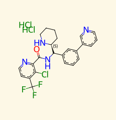 Cl.Cl.O=C(NC(c1cccc(-c2cccnc2)c1)[C@@H]1CCCCN1)c1nccc(C(F)(F)F)c1Cl